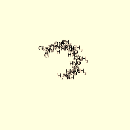 Cn1cc(NC(=O)c2cc(NC(=O)c3cc(NC(=O)c4cc(NC(=O)c5ccc(N(CCCl)CCCl)cc5)nn4C)nn3C)cn2C)cc1C(=O)NCCC(=N)N